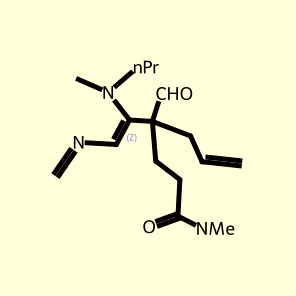 C=CCC(C=O)(CCC(=O)NC)/C(=C/N=C)N(C)CCC